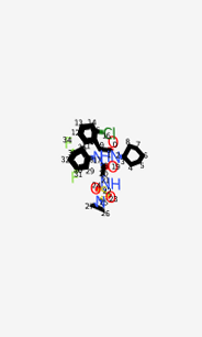 O=C(NC1CCCCC1)[C@@H](c1ccccc1Cl)N(C(=O)CNS(=O)(=O)N1CC1)c1cc(F)cc(F)c1